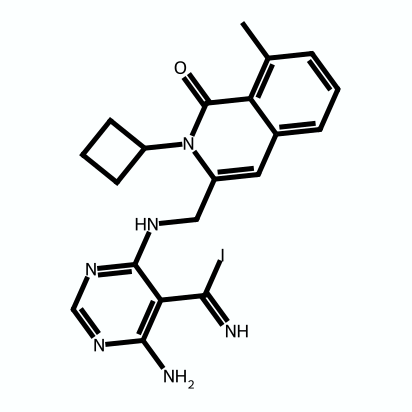 Cc1cccc2cc(CNc3ncnc(N)c3C(=N)I)n(C3CCC3)c(=O)c12